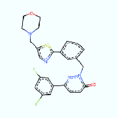 O=c1ccc(-c2cc(F)cc(F)c2)nn1Cc1cccc(-c2ncc(CN3CCOCC3)s2)c1